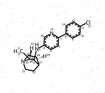 C[C@@H]1[C@@H](Nc2ccc(-c3ccc(Cl)cc3)nc2)C2CCN1CC2